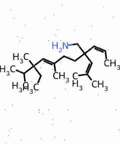 C/C=C\C(C=C(C)C)(CN)CC/C(C)=C/C(C)(CC)C(C)C